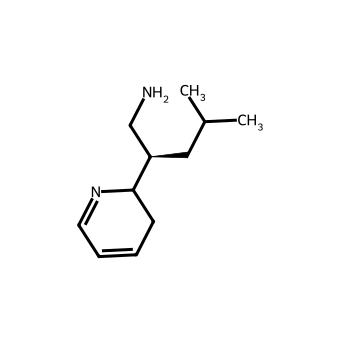 CC(C)C[C@H](CN)C1CC=CC=N1